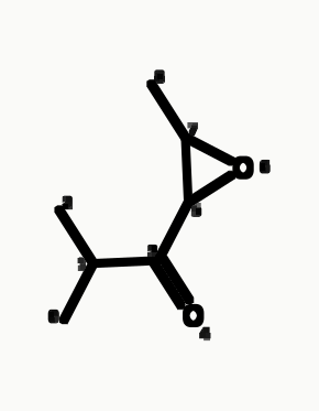 CC(C)C(=O)C1OC1C